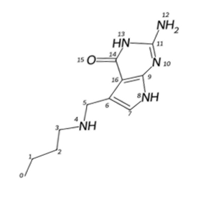 CCCCNCc1c[nH]c2nc(N)[nH]c(=O)c12